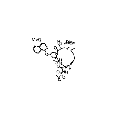 COC[C@@H]1CC(C)CC/C=C\[C@@H]2C[C@@]2(C(=O)NS(=O)(=O)C2(C)CC2)NC(=O)[C@@H]2C[C@@H](Oc3ncc(OC)c4ccccc34)CN2C(=O)[C@H]1N.Cl